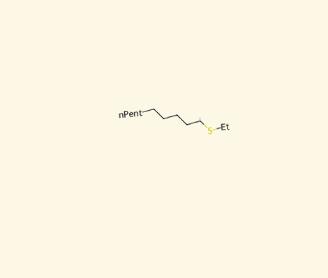 CCCCCCCCC[CH]SCC